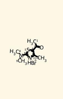 Br.CC(=O)c1sc(N(C)C)nc1C